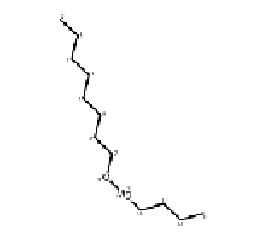 CCCCCCCC[O][Mg][CH2]CCC